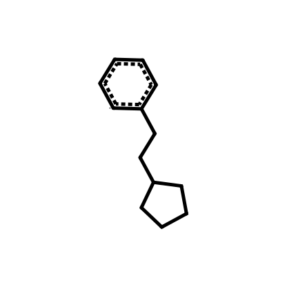 [c]1ccccc1CCC1CCCC1